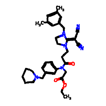 CCOC(=O)CN(C(=O)CCN1CCN(Cc2cc(C)cc(C)c2)C1=C(C#N)C#N)c1cccc(CN2CCCCC2)c1